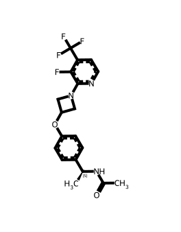 CC(=O)N[C@@H](C)c1ccc(OC2CN(c3nccc(C(F)(F)F)c3F)C2)cc1